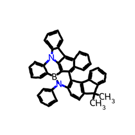 CC1(C)c2ccccc2-c2c1ccc1c2-c2c3c4c(c5ccccc25)c2ccccc2n4-c2ccccc2B3N1c1ccccc1